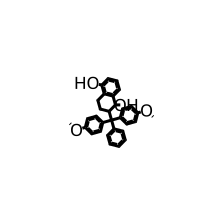 COc1ccc(C(c2ccccc2)(c2ccc(OC)cc2)C2CCc3c(O)cccc3C2O)cc1